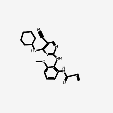 C=CC(=O)Nc1cccc(OC)c1Nc1ncc(C#N)c(NC2CCCCC2)n1